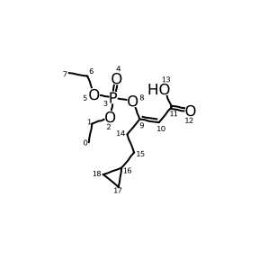 CCOP(=O)(OCC)O/C(=C\C(=O)O)CCC1CC1